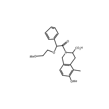 COCCOC(C(=O)N1Cc2ccc(OC)c(C)c2CC1C(=O)O)c1ccccc1